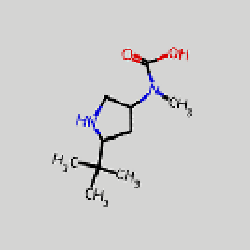 CN(C(=O)O)C1CNC(C(C)(C)C)C1